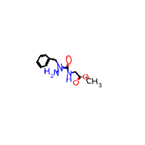 COC(=O)CNC(=O)N(N)Cc1ccccc1